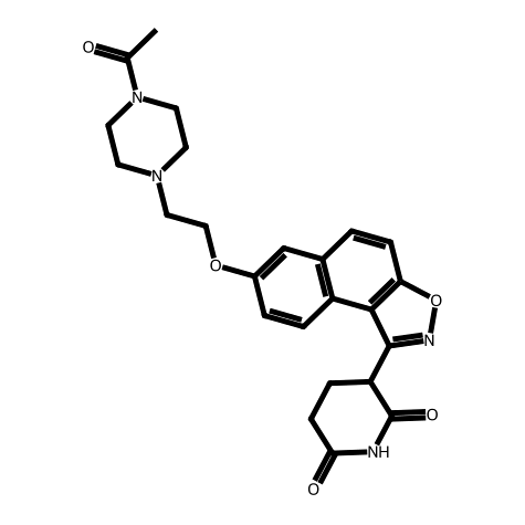 CC(=O)N1CCN(CCOc2ccc3c(ccc4onc(C5CCC(=O)NC5=O)c43)c2)CC1